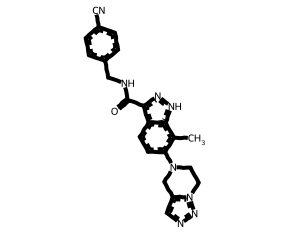 Cc1c(N2CCn3nncc3C2)ccc2c(C(=O)NCc3ccc(C#N)cc3)n[nH]c12